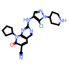 N#Cc1cc2cnc(Nc3cnn(C4CCNCC4)c3Cl)nc2n(C2CCCC2)c1=O